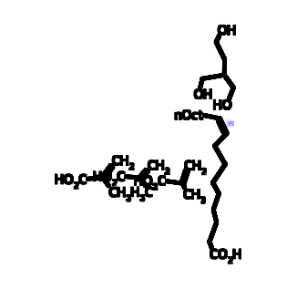 C=C(C)C(=O)O.C=C(C)C(=O)O.C=C(C)C(=O)O.CCCCCCCC/C=C\CCCCCCCC(=O)O.OCCC(CO)CO